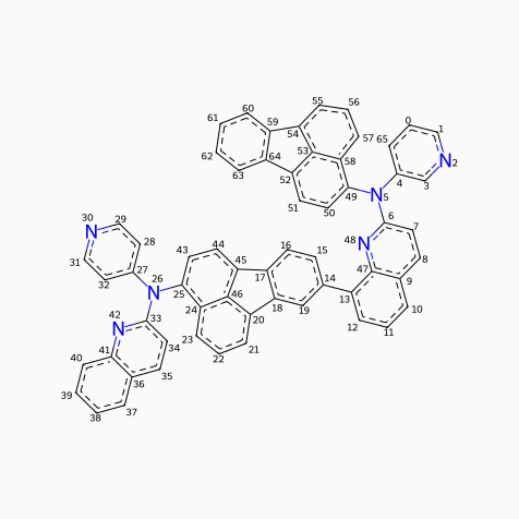 c1cncc(N(c2ccc3cccc(-c4ccc5c(c4)-c4cccc6c(N(c7ccncc7)c7ccc8ccccc8n7)ccc-5c46)c3n2)c2ccc3c4c(cccc24)-c2ccccc2-3)c1